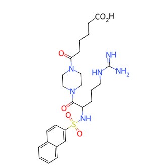 N=C(N)NCCCC(NS(=O)(=O)c1ccc2ccccc2c1)C(=O)N1CCN(C(=O)CCCCC(=O)O)CC1